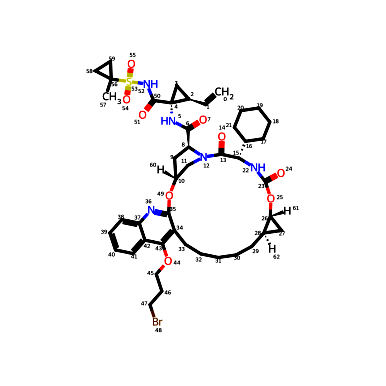 C=C[C@@H]1C[C@]1(NC(=O)[C@@H]1C[C@@H]2CN1C(=O)[C@H](C1CCCCC1)NC(=O)O[C@@H]1C[C@H]1CCCCCc1c(nc3ccccc3c1OCCCBr)O2)C(=O)NS(=O)(=O)C1(C)CC1